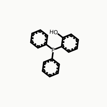 Oc1ccccc1P(c1ccccc1)c1ccccc1